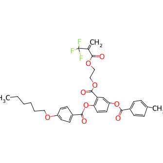 C=C(C(=O)OCCOC(=O)c1cc(OC(=O)c2ccc(C)cc2)ccc1OC(=O)c1ccc(OCCCCCC)cc1)C(F)(F)F